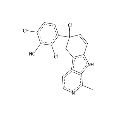 Cc1nccc2c3c([nH]c12)C=CC(Cl)(c1ccc(Cl)c(C#N)c1Cl)C3